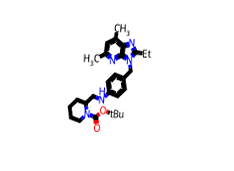 CCc1nc2c(C)cc(C)nc2n1Cc1ccc(NCC2CCCCN2C(=O)OC(C)(C)C)cc1